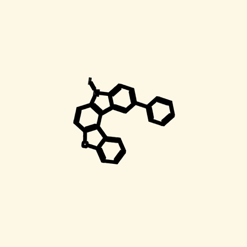 In1c2ccc(-c3ccccc3)cc2c2c3c(ccc21)oc1ccccc13